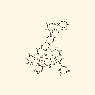 c1ccc(-c2nc3cc(N(c4ccc(-c5cccc6c5sc5ccccc56)cc4)c4ccc5c(c4)C(c4ccccc4)(c4ccccc4)c4ccccc4-5)ccc3o2)cc1